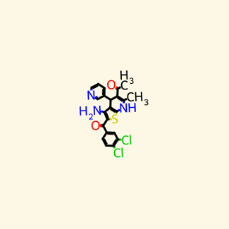 CC(=O)C1=C(C)Nc2sc(C(=O)c3ccc(Cl)c(Cl)c3)c(N)c2C1c1cccnc1